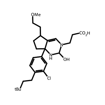 COCCC1CCC2(c3ccc(CCC(C)(C)C)c(Cl)c3)NC(O)N(CCC(=O)O)C=C12